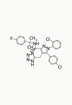 CC(C)(NC(=O)c1nn(-c2ccccc2Cl)c(-c2ccc(Cl)cc2)c1Cc1nnn[nH]1)c1ccc(F)cc1